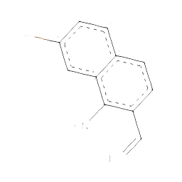 C=Cc1ccc2ccc(Br)cc2c1[N+](=O)[O-]